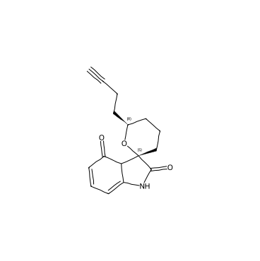 C#CCC[C@H]1CCC[C@@]2(O1)C(=O)NC1=CC=CC(=O)C12